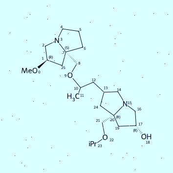 CO[C@H]1CN2CCC[C@@]2(COC(C)CC2CN3C[C@H](O)C[C@@]3(COC(C)C)C2)C1